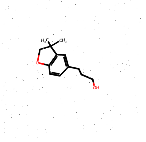 CC1(C)COc2ccc(CCCO)cc21